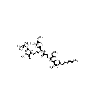 CCCCCCC(=O)N[C@@H](C)C(=O)N[C@H](CCC(=O)N[C@H](CSC[C@H](NC(=O)OC(C)(C)C)C(=O)OC)C(=O)N[C@H](C)C(=O)OC)C(=O)OC